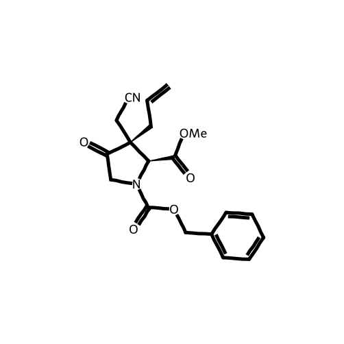 C=CC[C@]1(CC#N)C(=O)CN(C(=O)OCc2ccccc2)[C@@H]1C(=O)OC